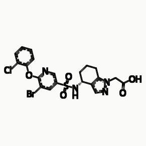 O=C(O)Cn1ncc2c1CCC[C@H]2NS(=O)(=O)c1cnc(Oc2ccccc2Cl)c(Br)c1